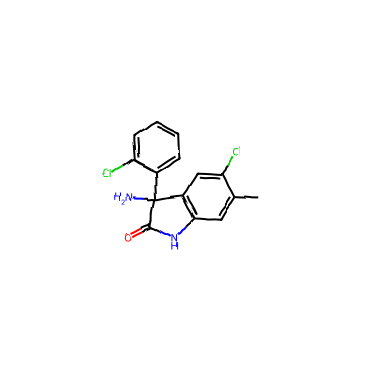 Cc1cc2c(cc1Cl)C(N)(c1ccccc1Cl)C(=O)N2